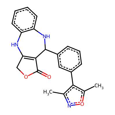 Cc1noc(C)c1-c1cccc(C2Nc3ccccc3NC3=C2C(=O)OC3)c1